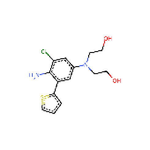 Nc1c(Cl)cc(N(CCO)CCO)cc1-c1cccs1